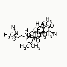 CC1(C)CC[C@]2(NCCCS(C)(=O)=NC#N)CC[C@]3(C)[C@H](C(=O)C=C4[C@@]5(C)C=C(C#N)C(=O)C(C)(C)[C@@H]5CC[C@]43C)[C@@H]2C1